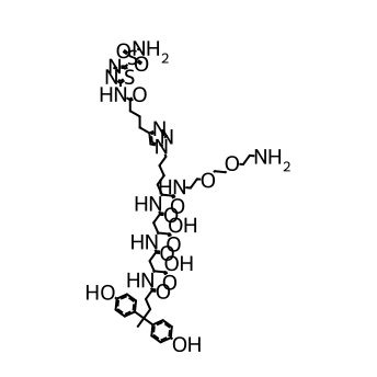 CC(CCC(=O)NC(CC(=O)NC(CC(=O)NC(CCCCn1cc(CCCC(=O)Nc2nnc(S(N)(=O)=O)s2)nn1)C(=O)NCCOCCOCCN)C(=O)O)C(=O)O)(c1ccc(O)cc1)c1ccc(O)cc1